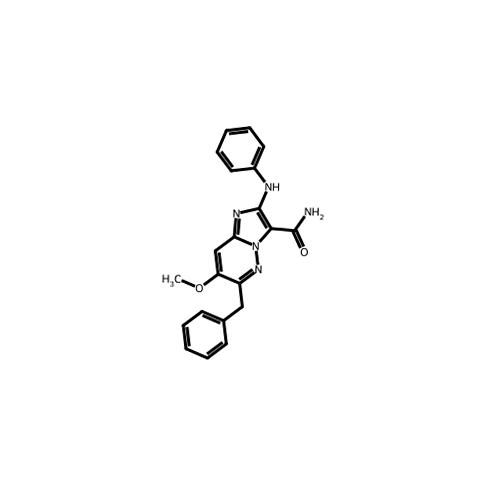 COc1cc2nc(Nc3ccccc3)c(C(N)=O)n2nc1Cc1ccccc1